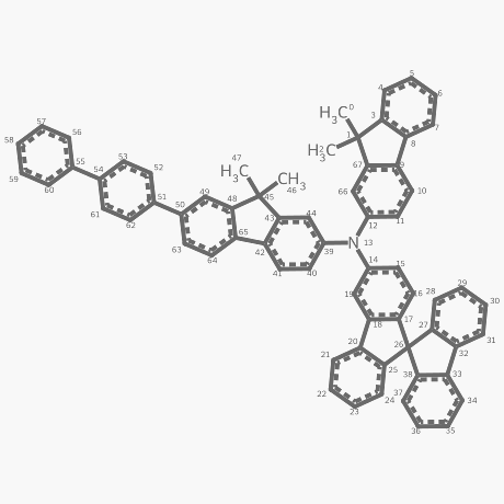 CC1(C)c2ccccc2-c2ccc(N(c3ccc4c(c3)-c3ccccc3C43c4ccccc4-c4ccccc43)c3ccc4c(c3)C(C)(C)c3cc(-c5ccc(-c6ccccc6)cc5)ccc3-4)cc21